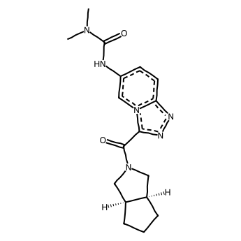 CN(C)C(=O)Nc1ccc2nnc(C(=O)N3C[C@H]4CCC[C@H]4C3)n2c1